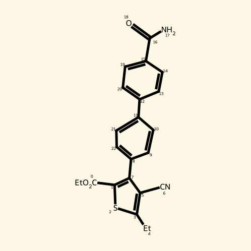 CCOC(=O)c1sc(CC)c(C#N)c1-c1ccc(-c2ccc(C(N)=O)cc2)cc1